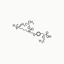 CCOC(Cc1ccc(OCCN(CCCCCC(C)(F)F)C(=O)OCC(C)C)cc1)C(=O)O